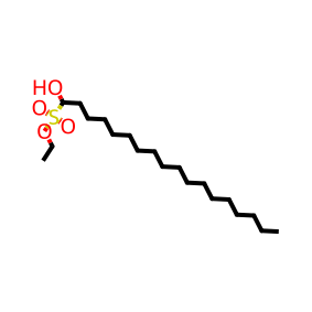 CCCCCCCCCCCCCCCCCC(O)S(=O)(=O)OCC